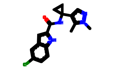 Cc1c(C2(NC(=O)c3cc4cc(Cl)ccc4[nH]3)CC2)cnn1C